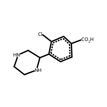 O=C(O)c1ccc(C2CNCCN2)c(Cl)c1